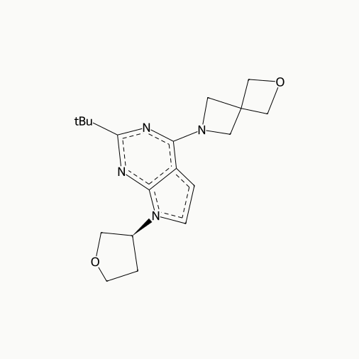 CC(C)(C)c1nc(N2CC3(COC3)C2)c2ccn([C@H]3CCOC3)c2n1